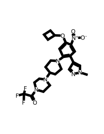 Cn1cc(-c2cc([N+](=O)[O-])c(OC3CCC3)cc2N2CCC(N3CCN(C(=O)C(F)(F)F)CC3)CC2)cn1